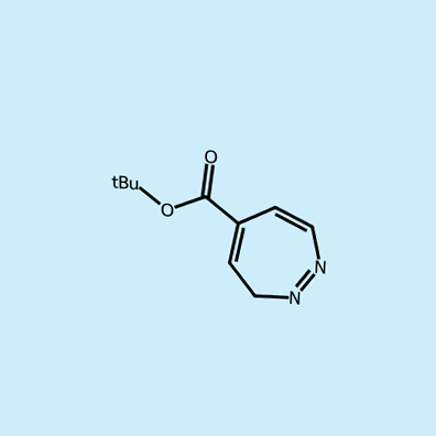 CC(C)(C)OC(=O)C1=CCN=NC=C1